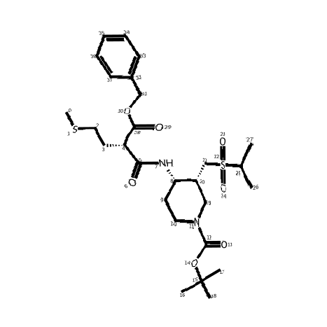 CSCC[C@@H](C(=O)N[C@H]1CCN(C(=O)OC(C)(C)C)C[C@H]1CS(=O)(=O)C(C)C)C(=O)OCc1ccccc1